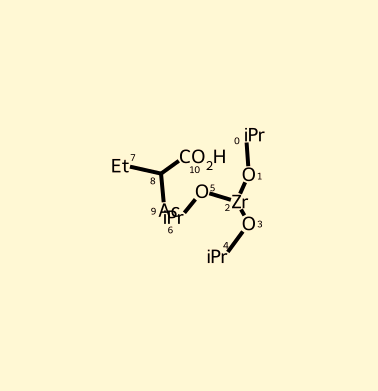 CC(C)[O][Zr]([O]C(C)C)[O]C(C)C.CCC(C(C)=O)C(=O)O